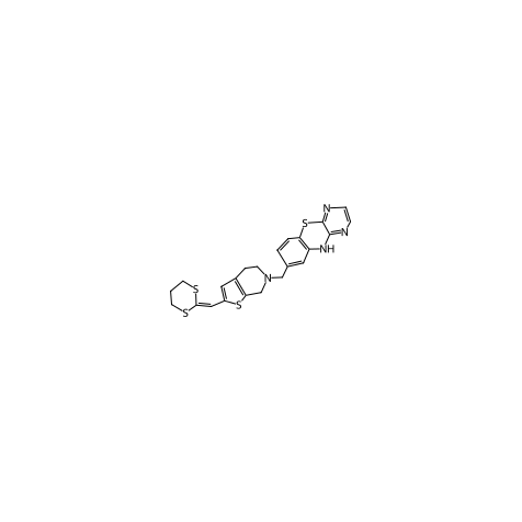 C(=C1SCCCS1)c1cc2c(s1)CN(Cc1ccc3c(c1)Nc1nccnc1S3)CC2